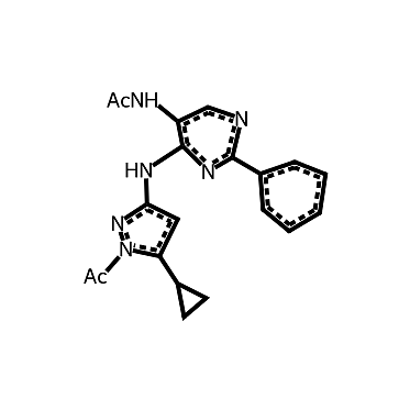 CC(=O)Nc1cnc(-c2ccccc2)nc1Nc1cc(C2CC2)n(C(C)=O)n1